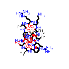 CC(C)CC(NC(=O)C(CC(C)C)NC(=O)C(CCCNC(=N)N)NC(=O)C(CCCCN)NC(=O)C(C)(C)NC(=O)C(CC(C)C)NC(=O)C(CCCCN)NC(=O)C(CCCNC(=N)N)NC(=O)C(CC(C)C)NC(=O)C(CS)NC(=O)C(CO)NC(=O)C(C)NC(=O)c1ccccn1)C(=O)NC(C=O)CS